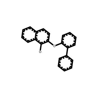 [O]c1c(Oc2ccccc2-c2ccccc2)ccc2ccccc12